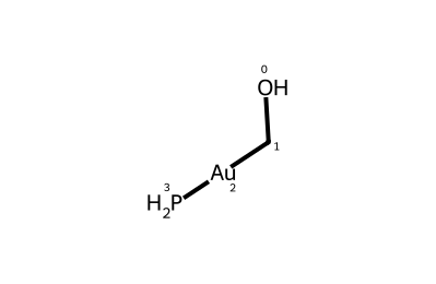 O[CH2][Au][PH2]